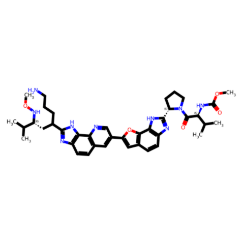 CON[C@H](CC(CCCN)c1nc2ccc3cc(-c4cc5ccc6nc([C@@H]7CCCN7C(=O)[C@@H](NC(=O)OC)C(C)C)[nH]c6c5o4)cnc3c2[nH]1)C(C)C